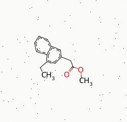 CCc1cc(CC(=O)OC)cc2ccccc12